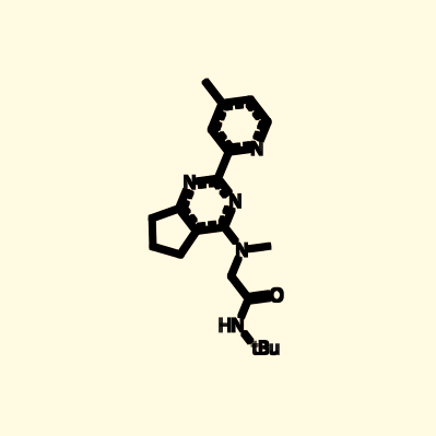 Cc1ccnc(-c2nc3c(c(N(C)CC(=O)NC(C)(C)C)n2)CCC3)c1